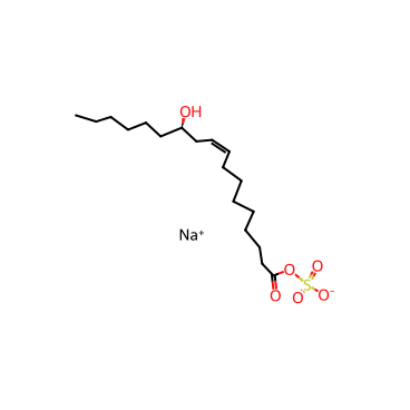 CCCCCC[C@@H](O)C/C=C\CCCCCCCC(=O)OS(=O)(=O)[O-].[Na+]